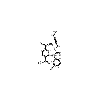 NC(=O)c1ccc(C(N)=O)cc1.O=C(Nc1cccc(Cl)c1)OCC#CCCl